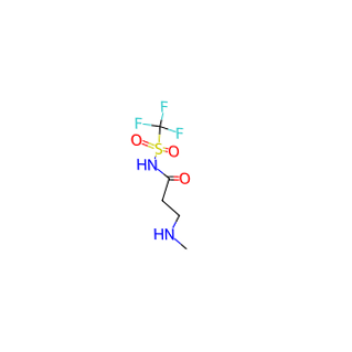 CNCCC(=O)NS(=O)(=O)C(F)(F)F